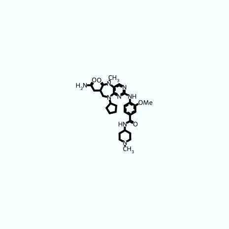 COc1cc(C(=O)NC2CCN(C)CC2)ccc1Nc1ncc2c(n1)N(C1CCCC1)CC(CC(N)=O)C(=O)N2C